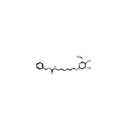 O=C(NCCCCCCO[C@@H]1C[C@@H](O)[C@H](O)[C@@H](CO)O1)OCc1ccccc1